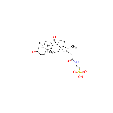 C[C@H](CCC(=O)NCCS(=O)(=O)O)[C@H]1CC[C@H]2[C@@H]3[C@@H](O)C[C@@H]4CC(=O)CC[C@]4(C)[C@H]3CC[C@]12C